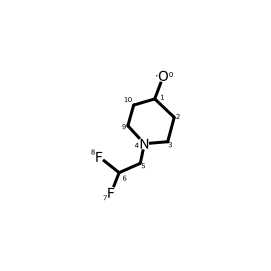 [O]C1CCN(CC(F)F)CC1